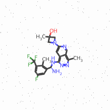 Cc1c([C@@H](N)Nc2nnc(C)c3cnc(N4CC(C)(O)C4)cc23)cc(F)cc1C(F)(F)F